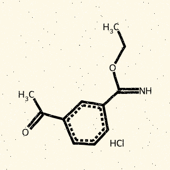 CCOC(=N)c1cccc(C(C)=O)c1.Cl